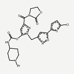 CC(C)N1CCC(NC(=O)Oc2cc(C(=O)N3CCOC3=O)nn2Cc2cc(-c3ccc(Cl)s3)on2)CC1